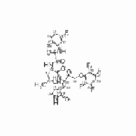 CC(C)C[C@H](NC(=O)C(=O)Nc1cc(F)ccc1F)C(=O)N[C@@H](C[C@@H]1CCNC1=O)C(=O)COc1c(F)c(F)cc(F)c1F